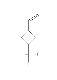 O=CC1CC(C(F)(F)F)C1